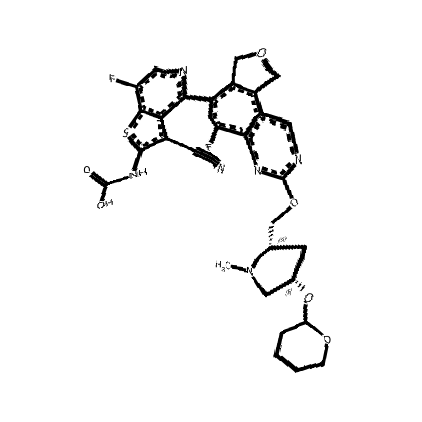 CN1C[C@@H](OC2CCCCO2)C[C@H]1COc1ncc2c3c(c(-c4ncc(F)c5sc(NC(=O)O)c(C#N)c45)c(F)c2n1)COC3